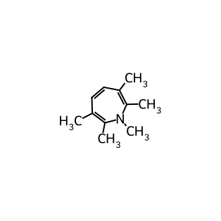 CC1=C(C)N(C)C(C)=C(C)C=C1